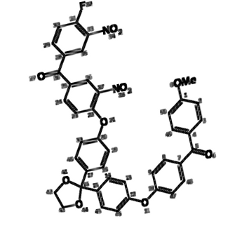 COc1ccc(C(=O)c2ccc(Oc3ccc(C4(c5ccc(Oc6ccc(C(=O)c7ccc(F)c([N+](=O)[O-])c7)cc6[N+](=O)[O-])cc5)OCCO4)cc3)cc2)cc1